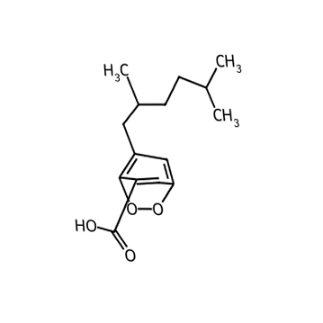 CC(C)CCC(C)Cc1cc2cc(C(=O)O)c1OO2